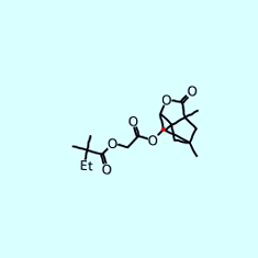 CCC(C)(C)C(=O)OCC(=O)OC1C2OC(=O)C3(C)CC1(C)CC23C